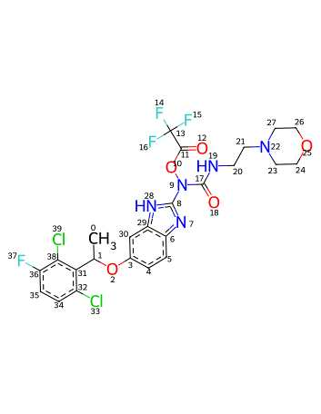 CC(Oc1ccc2nc(N(OC(=O)C(F)(F)F)C(=O)NCCN3CCOCC3)[nH]c2c1)c1c(Cl)ccc(F)c1Cl